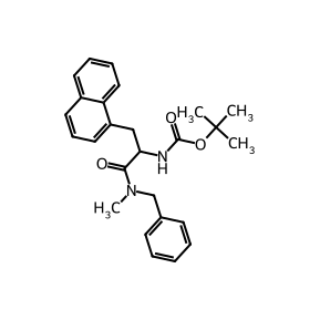 CN(Cc1ccccc1)C(=O)C(Cc1cccc2ccccc12)NC(=O)OC(C)(C)C